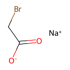 O=C([O-])CBr.[Na+]